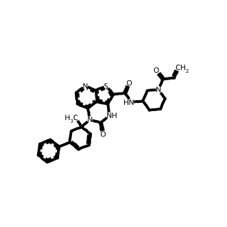 C=CC(=O)N1CCCC(NC(=O)c2sc3nccc4c3c2NC(=O)N4C2(C)C=CC=C(c3ccccc3)C2)C1